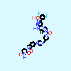 O=C1CCC(N2Cc3ccc(N4CCN(CC5CCN(C(=O)N6CCN7c8cc(-c9cc(F)cc(F)c9O)nnc8NC[C@H]7C6)CC5)CC4)cc3C2=O)C(=O)N1